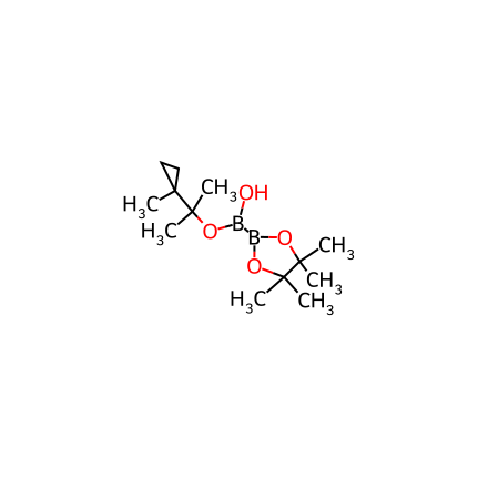 CC1(C(C)(C)OB(O)B2OC(C)(C)C(C)(C)O2)CC1